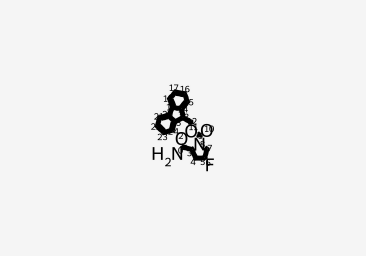 NC(=O)C1CC(F)CN1C(=O)OCC1c2ccccc2-c2ccccc21